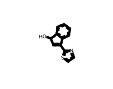 OC1C=C(c2nccs2)c2ccccc21